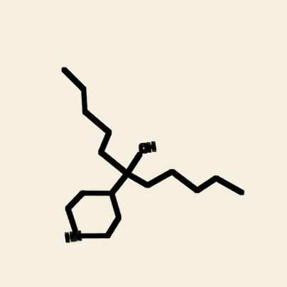 CCCCCC(O)(CCCCC)C1CCNCC1